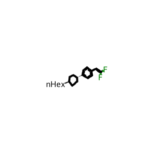 CCCCCC[C@H]1CC[C@H](c2ccc(C=C(F)F)cc2)CC1